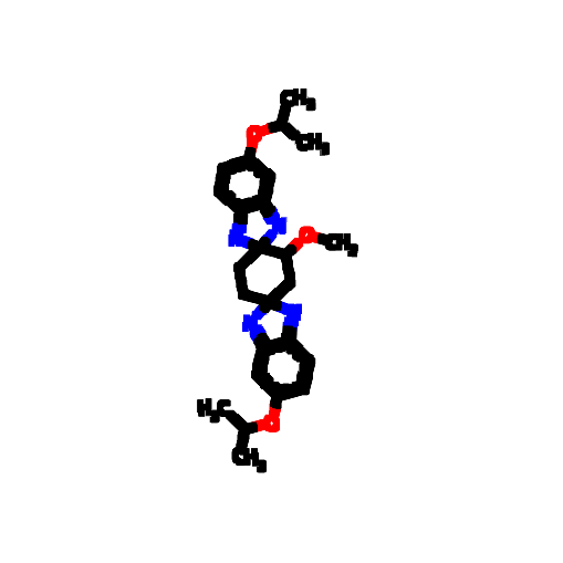 COC1CC2(CCC13N=c1ccc(OC(C)C)cc1=N3)N=c1ccc(OC(C)C)cc1=N2